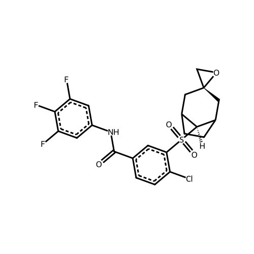 O=C(Nc1cc(F)c(F)c(F)c1)c1ccc(Cl)c(S(=O)(=O)[C@H]2C3CCC2C[C@]2(CO2)C3)c1